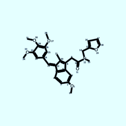 COc1ccc2c(c1)C(CC(=O)N(C)Cc1ccco1)=C(C)C2=Cc1cc(OC)c(OC)c(OC)c1